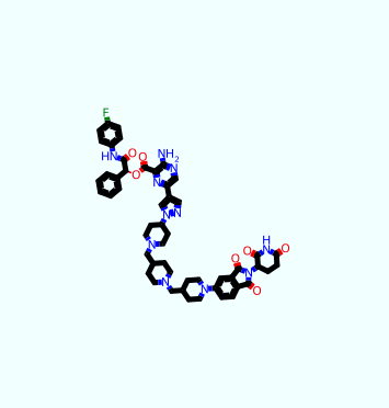 Nc1ncc(-c2cnn(C3CCN(CC4CCN(CC5CCN(c6ccc7c(c6)C(=O)N(C6CCC(=O)NC6=O)C7=O)CC5)CC4)CC3)c2)nc1C(=O)O[C@@H](C(=O)Nc1ccc(F)cc1)c1ccccc1